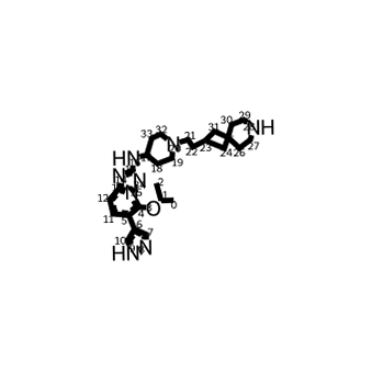 CC(C)Oc1c(-c2cn[nH]c2)ccc2nc(NC3CCN(CCC4CC5(CCNCC5)C4)CC3)nn12